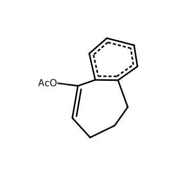 CC(=O)OC1=CCCCc2ccccc21